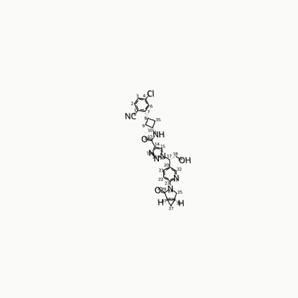 N#Cc1ccc(Cl)cc1[C@H]1C[C@@H](NC(=O)c2cn([C@H](CO)c3ccc(N4C[C@H]5C[C@H]5C4=O)nc3)nn2)C1